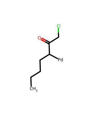 CCCC[CH]([Pd])C(=O)CCl